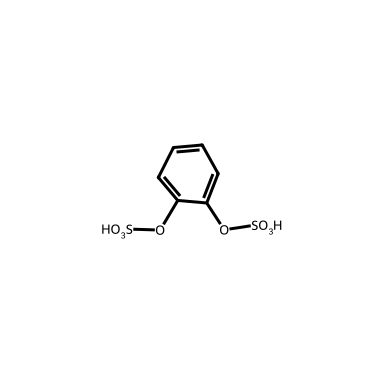 O=S(=O)(O)Oc1ccccc1OS(=O)(=O)O